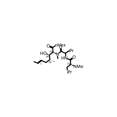 C/C=C/C[C@@H](C)[C@@H](O)[C@@H](C(=O)CCCCCC)N(C)C(=O)C(NC(=O)[C@H](CC(C)C)NC)C(C)C